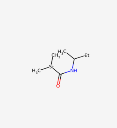 CCC(C)NC(=O)[Si](C)C